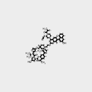 C=C(F)C(=O)N1CCN(c2nc(OCCN3CCC(F)(COc4cc([C@H](C(=O)N5C[C@H](O)C[C@H]5C(=O)N[C@@H](C)c5ccc(-c6scnc6C)cc5)C(C)C)on4)CC3)nc3c(F)c(-c4cc(O)cc5ccccc45)c(Cl)cc23)C[C@@H]1CC#N